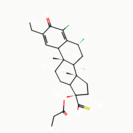 CCC(=O)O[C@]1(C(O)=S)[C@@H](C)C[C@H]2[C@@H]3C[C@H](F)C4=C(Cl)C(=O)C(CC)=C[C@]4(C)[C@H]3[C@@H](O)C[C@@]21C